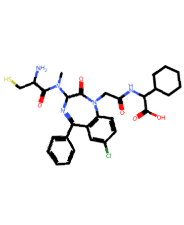 CN(C(=O)C(N)CS)C1N=C(c2ccccc2)c2cc(Cl)ccc2N(CC(=O)NC(C(=O)O)C2CCCCC2)C1=O